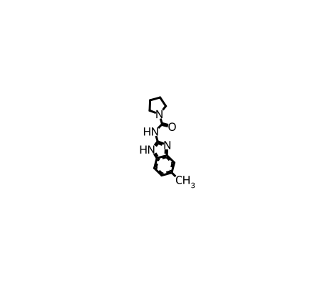 Cc1ccc2[nH]c(NC(=O)N3CCCC3)nc2c1